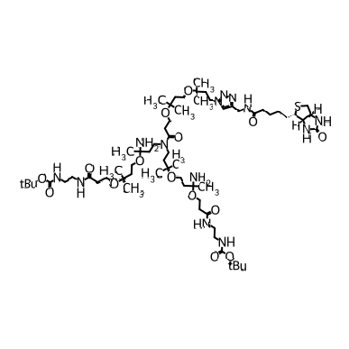 CC(C)(C)OC(=O)NCCNC(=O)CCOC(C)(C)CCOC(C)(N)CCN(CCC(C)(C)OCCC(C)(N)OCCC(=O)NCCNC(=O)OC(C)(C)C)C(=O)CCOC(C)(C)CCOC(C)(C)CCn1cc(CNC(=O)CCCC[C@@H]2SC[C@@H]3NC(=O)N[C@@H]32)nn1